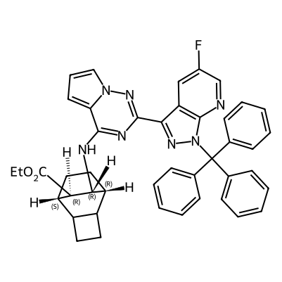 CCOC(=O)[C@H]1[C@H](Nc2nc(-c3nn(C(c4ccccc4)(c4ccccc4)c4ccccc4)c4ncc(F)cc34)nn3cccc23)[C@@H]2CC[C@H]1C1CCC12